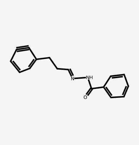 O=C(N/N=C/CCc1c#cccc1)c1ccccc1